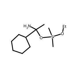 CCO[Si](C)(C)OC(C)(N)C1CCCCC1